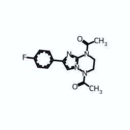 CC(=O)N1CCN(C(C)=O)n2cc(-c3ccc(F)cc3)nc21